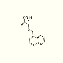 C=C(CSCc1cccc2ccccc12)C(=O)O